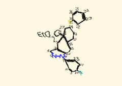 CCOC(=O)[C@]12Cc3cnn(-c4ccc(F)cc4)c3C=C1CC[C@@H](Sc1ccccc1)C2